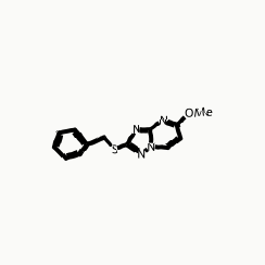 COc1ccn2nc(SCc3ccccc3)nc2n1